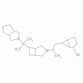 CC(C)C1CCC2C(CC(C)N3CC4CC(C(C)(C)N5CC6CCCC6C5)C4C3)C12